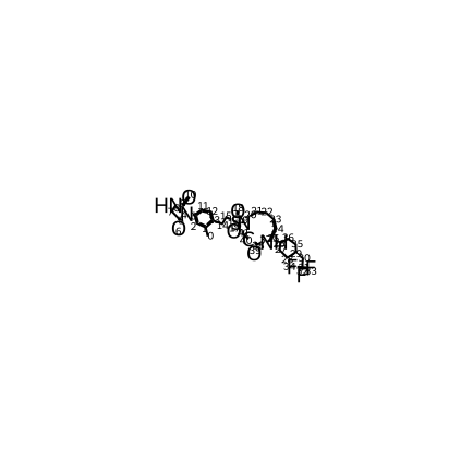 Cc1cc(N2C(=O)CNC2=O)ccc1CCS(=O)(=O)N1CCCC=C=C([C@H]2CC[C@H](CC(F)(F)F)CC2)NC(=O)CC1